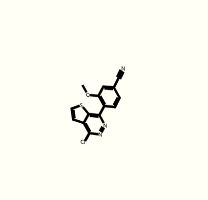 COc1cc(C#N)ccc1-c1nnc(Cl)c2ccsc12